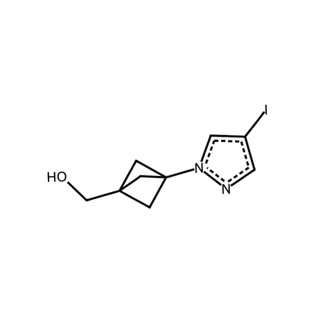 OCC12CC(n3cc(I)cn3)(C1)C2